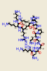 C[C@H](NC(=O)[C@H](CCN)NC(=O)[C@@H](N)CCCN)C(=O)NCC(=O)N[C@H](CCCN)C(=O)N1CCC[C@H]1C(=O)N[C@@H](Cc1cnc[nH]1)C(=O)N[C@@H](CCCCN)C(=O)CC/C(=C\CCNC(=N)N)C(=O)N[C@@H](CCCCN)C(=O)NCCCCN